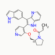 C=CC(=O)N1CCC[C@H]1COc1cnccc1-c1[nH]c2cccnc2c1-c1ccc2cc[nH]c2c1